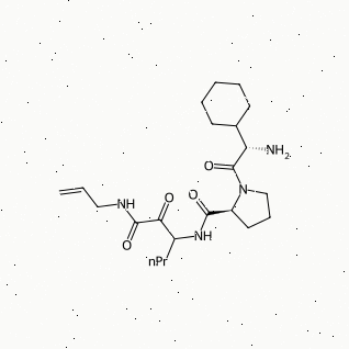 C=CCNC(=O)C(=O)C(CCC)NC(=O)[C@@H]1CCCN1C(=O)[C@@H](N)C1CCCCC1